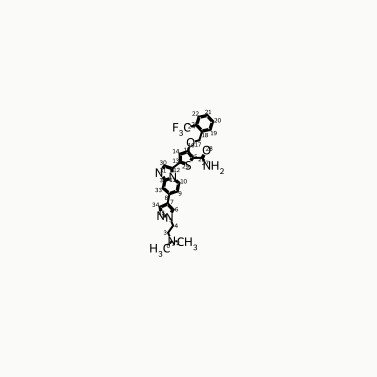 CN(C)CCn1cc(-c2ccn3c(-c4cc(OCc5ccccc5C(F)(F)F)c(C(N)=O)s4)cnc3c2)cn1